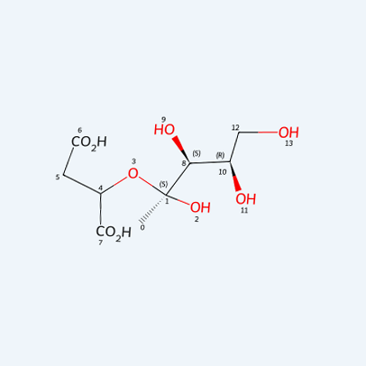 C[C@](O)(OC(CC(=O)O)C(=O)O)[C@@H](O)[C@H](O)CO